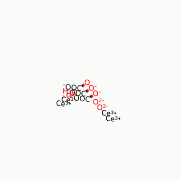 O.O=C([O-])[O-].O=C([O-])[O-].O=C([O-])[O-].[Ce+3].[Ce+3].[Ce+3].[Ce+3].[O-2].[O-2].[O-2]